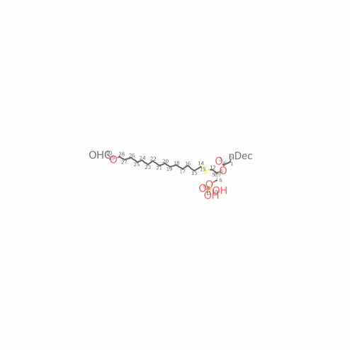 CCCCCCCCCCCC(=O)O[C@H](COP(=O)(O)O)CSCCCCCCCCCCCCCCCOC=O